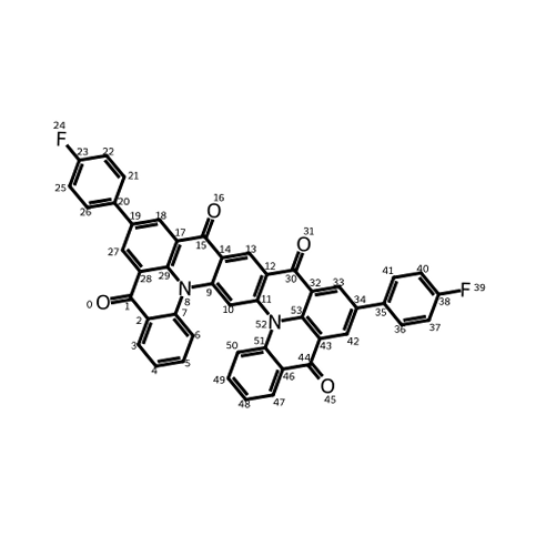 O=c1c2ccccc2n2c3cc4c(cc3c(=O)c3cc(-c5ccc(F)cc5)cc1c32)c(=O)c1cc(-c2ccc(F)cc2)cc2c(=O)c3ccccc3n4c21